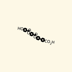 O=C(O)c1ccc(-c2ccc(OC(=O)c3ccc(OC(=O)c4ccc(O)cc4)cc3)cc2)cc1